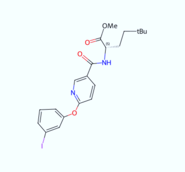 COC(=O)[C@H](CCC(C)(C)C)NC(=O)c1ccc(Oc2cccc(I)c2)nc1